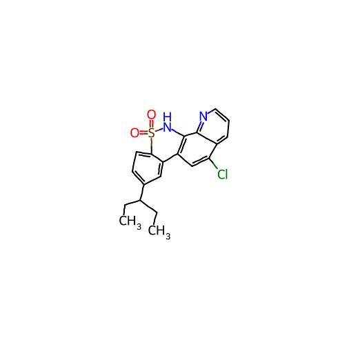 CCC(CC)c1ccc2c(c1)-c1cc(Cl)c3cccnc3c1NS2(=O)=O